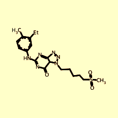 CCc1cc(NC2=NC(=O)C3C(=N2)N=NN3CCCCCS(C)(=O)=O)ccc1C